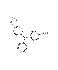 COc1ccc(C(c2ccccc2)c2ccc(O)cc2)cc1